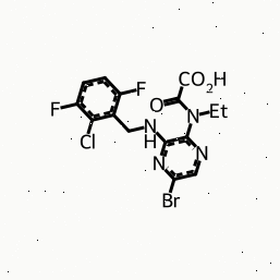 CCN(C(=O)C(=O)O)c1ncc(Br)nc1NCc1c(F)ccc(F)c1Cl